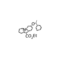 CCOC(=O)c1c2ccc(OC(C)c3ccccc3)cc2n2ccccc12